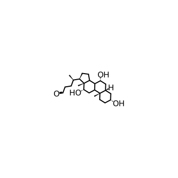 C[C@H](CCC=O)[C@H]1CCC2C3C(C[C@H](O)[C@@]21C)[C@@]1(C)CC[C@@H](O)C[C@H]1C[C@H]3O